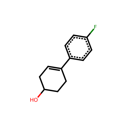 OC1CC=C(c2ccc(F)cc2)CC1